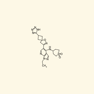 CCn1ncc2c(NC3CCS(=O)(=O)CC3)c(C3=NOC4(C3)CC(c3nnn[nH]3)C4)cnc21